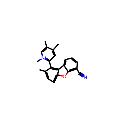 Cc1cc(-c2c(C)ccc3oc4c(C#N)cccc4c23)[n+](C)cc1C